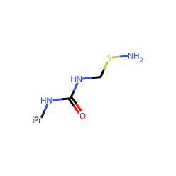 CC(C)NC(=O)NCSN